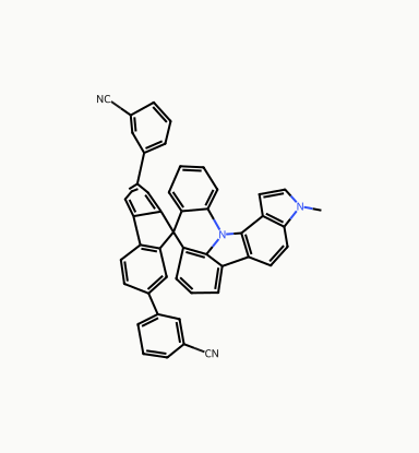 Cn1ccc2c1ccc1c3cccc4c3n(c12)-c1ccccc1C41c2cc(-c3cccc(C#N)c3)ccc2-c2ccc(-c3cccc(C#N)c3)cc21